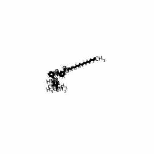 CCCCCCCCCCCCCCCCOC(=O)c1cccc(C(=O)Nc2ccccc2-c2nn3nc(C(C)(C)C)c(Cl)c3[nH]2)c1